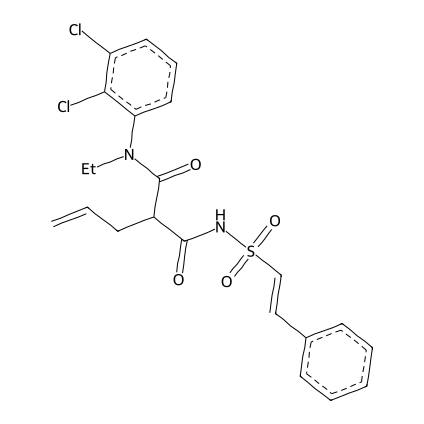 C=CCC(C(=O)NS(=O)(=O)/C=C/c1ccccc1)C(=O)N(CC)c1cccc(Cl)c1Cl